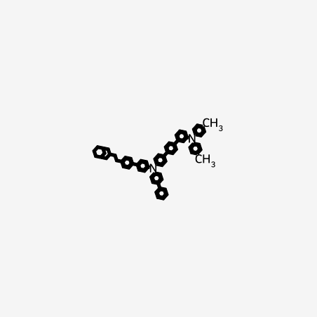 Cc1ccc(N(c2ccc(C)cc2)c2cccc(-c3ccc(-c4ccc(N(c5ccc(-c6ccccc6)cc5)c5ccc(-c6ccc(CCC7CC8CCCC(C8)C7)cc6)cc5)cc4)cc3)c2)cc1